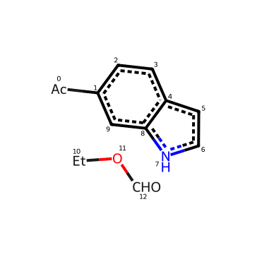 CC(=O)c1ccc2cc[nH]c2c1.CCOC=O